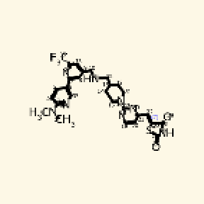 CN(C)c1ccc(-c2cc(CNCC3CCN(c4nccc(/C=C5\SC(=O)NC5=O)n4)CC3)cc(C(F)(F)F)n2)cn1